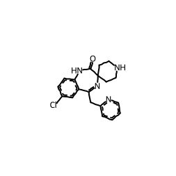 O=C1Nc2ccc(Cl)cc2C(Cc2ccccn2)=NC12CCNCC2